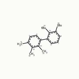 Cc1ccc(-c2cc[c]c(C(C)(C)C)c2C(C)(C)C)c(C)c1C